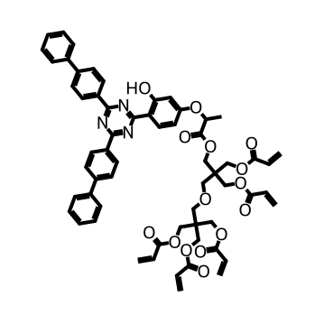 C=CC(=O)OCC(COCC(COC(=O)C=C)(COC(=O)C=C)COC(=O)C(C)Oc1ccc(-c2nc(-c3ccc(-c4ccccc4)cc3)nc(-c3ccc(-c4ccccc4)cc3)n2)c(O)c1)(COC(=O)C=C)COC(=O)C=C